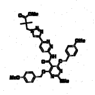 COC(=O)C(C)(C)Cn1cc(-c2ccc(NC(=O)c3c(OCc4ccc(OC)cc4)nc(SC)nc3OCc3ccc(OC)cc3)nn2)nn1